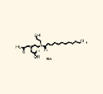 CCCCCCCCCCCC(=O)N(CCO)CCN(CC(=O)O)CC(=O)O.[Na]